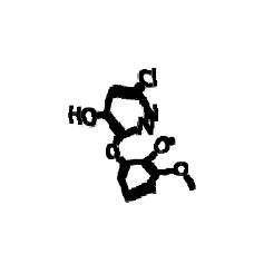 COc1cccc(Oc2nnc(Cl)cc2O)c1OC